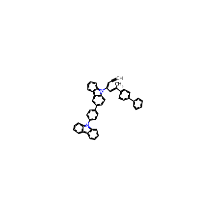 C#C/C=C(\C=C(/C)c1ccc(-c2ccccc2)cc1)n1c2ccccc2c2cc(-c3ccc(-n4c5ccccc5c5ccccc54)cc3)ccc21